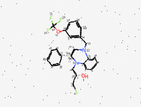 O[C@H](CF)CN1c2ccccc2N(Cc2cccc(OC(F)(F)F)c2)C[C@H]1c1ccccc1